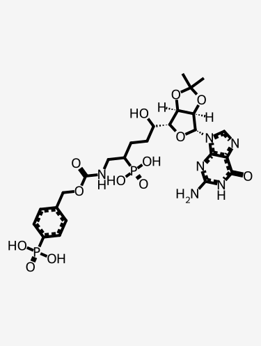 CC1(C)O[C@@H]2[C@H](O1)[C@@H](C(O)CCC(CNC(=O)OCc1ccc(P(=O)(O)O)cc1)P(=O)(O)O)O[C@H]2n1cnc2c(=O)[nH]c(N)nc21